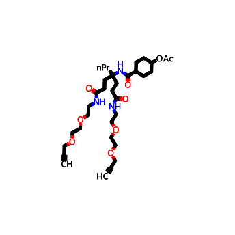 C#CCOCCOCCNC(=O)CCC(CCC)(CCC(=O)NCCOCCOCC#C)NC(=O)C1CCC(OC(C)=O)CC1